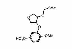 COc1ccc(C(=O)O)cc1OC1COCC1OCSC